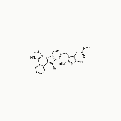 CCCCc1nc(Cl)c(CC(=O)NC)n1Cc1ccc2oc(-c3ccccc3-c3nnn[nH]3)c(Br)c2c1